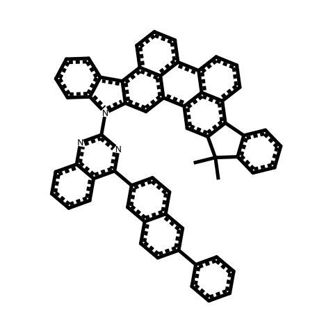 CC1(C)c2ccccc2-c2c1cc1c3cc4c(c5cccc(c6cccc2c61)c35)c1ccccc1n4-c1nc(-c2ccc3cc(-c4ccccc4)ccc3c2)c2ccccc2n1